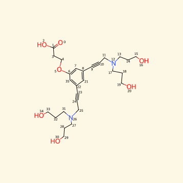 O=C(O)CCOc1cc(C#CCN(CCCO)CCCO)cc(C#CCN(CCCO)CCCO)c1